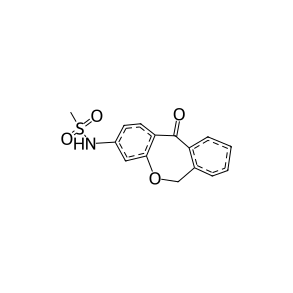 CS(=O)(=O)Nc1ccc2c(c1)OCc1ccccc1C2=O